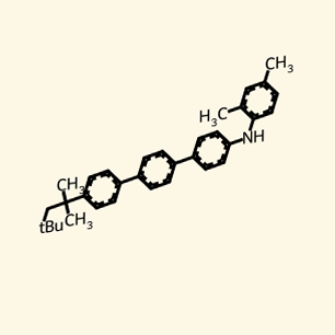 Cc1ccc(Nc2ccc(-c3ccc(-c4ccc(C(C)(C)CC(C)(C)C)cc4)cc3)cc2)c(C)c1